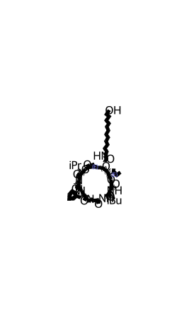 C/C=C(\C)[C@H]1OC(=O)[C@@H](C)NC(=O)[C@H](C(C)CC)NC(=O)CN(C)C(=O)[C@@H](Cc2ccccc2)N(C)C(=O)[C@H](C)NC(=O)[C@@H](CC(C)C)OC(=O)/C(C)=C/C[C@H](OCC(=O)NCCCCCCCCCCCCO)[C@@H]1C